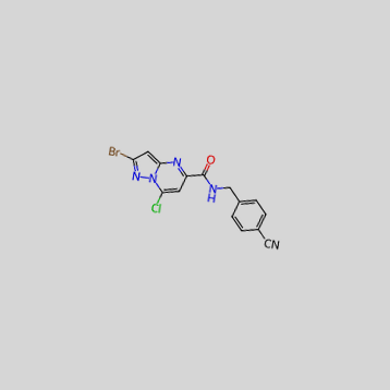 N#Cc1ccc(CNC(=O)c2cc(Cl)n3nc(Br)cc3n2)cc1